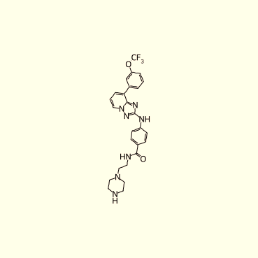 O=C(NCCN1CCNCC1)c1ccc(Nc2nc3c(-c4cccc(OC(F)(F)F)c4)cccn3n2)cc1